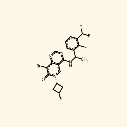 C[C@@H](Nc1ncnc2c(Br)c(=O)n([C@H]3C[C@H](F)C3)cc12)c1cccc(C(F)F)c1F